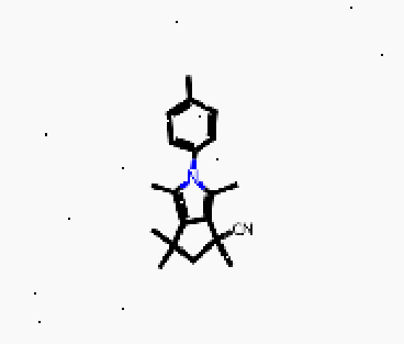 Cc1ccc(-n2c(C)c3c(c2C)C(C)(C#N)CC3(C)C)cc1